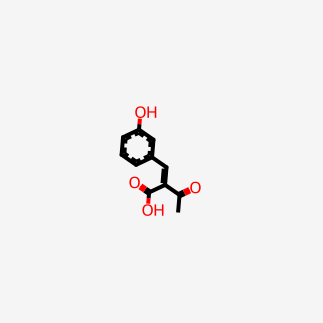 CC(=O)C(=Cc1cccc(O)c1)C(=O)O